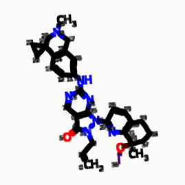 C=CCn1c(=O)c2cnc(Nc3ccc4c(c3)CN(C)CC43CC3)nc2n1-c1ccc2c(n1)[C@](C)(OI)CCC2